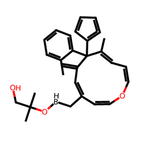 C=C1/C=C(CBOC(C)(C)CO)\C=C/O/C=C\C=C(/C)C1(C1=C=CC=C1)c1ccccc1C